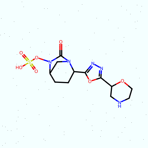 O=C1N2CC(CCC2c2nnc(C3CNCCO3)o2)N1OS(=O)(=O)O